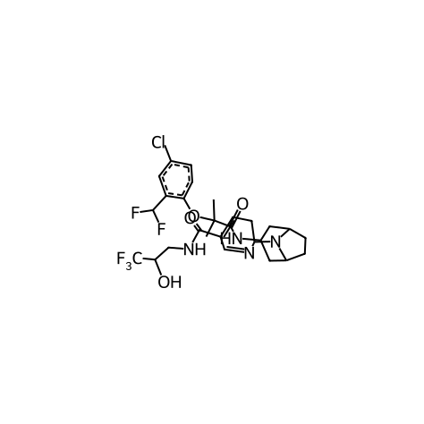 CC(C)(Oc1ccc(Cl)cc1C(F)F)C(=O)NC1CC2CCC(C1)N2C1CC=C(C(=O)NCC(O)C(F)(F)F)C=N1